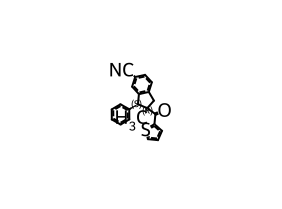 C[C@@]1(C(=O)c2cccs2)Cc2ccc(C#N)cc2[C@@H]1c1ccccc1